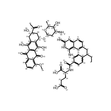 CCC(Cc1cnc2nc(=N)[nH]c(N)c2n1)c1ccc(C(=O)N[C@@H](CCC(=O)O)C(=O)O)cc1.COc1cccc2c1C(=O)c1c(O)c3c(c(O)c1C2=O)C[C@@](O)(C(C)=O)C[C@@H]3O[C@H]1C[C@H](N)[C@H](O)[C@H](C)O1